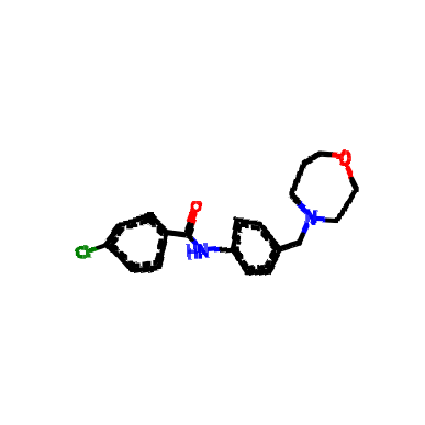 O=C(Nc1ccc(CN2CCCOCC2)cc1)c1ccc(Cl)cc1